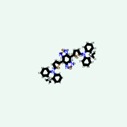 C[Si]1(C)c2ccccc2N(c2ccc(-c3c4c(c(-c5ccc(N6c7ccccc7[Si](C)(C)c7ccccc76)s5)c5nsnc35)N=S=N4)s2)c2ccccc21